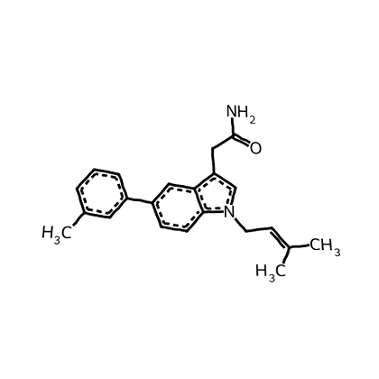 CC(C)=CCn1cc(CC(N)=O)c2cc(-c3cccc(C)c3)ccc21